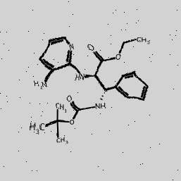 CCOC(=O)[C@H](Nc1ncccc1N)[C@@H](NC(=O)OC(C)(C)C)c1ccccc1